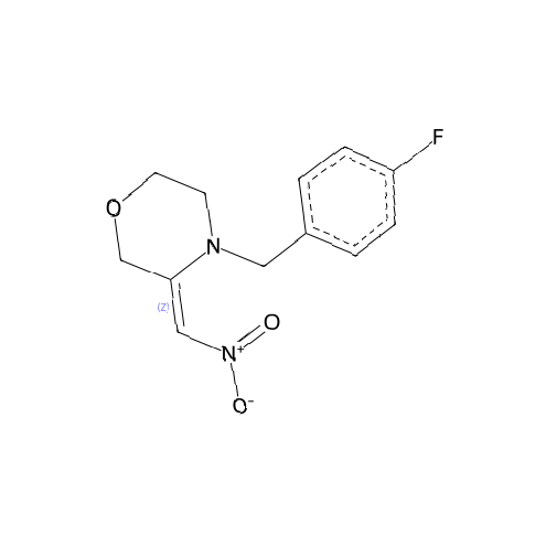 O=[N+]([O-])/C=C1/COCCN1Cc1ccc(F)cc1